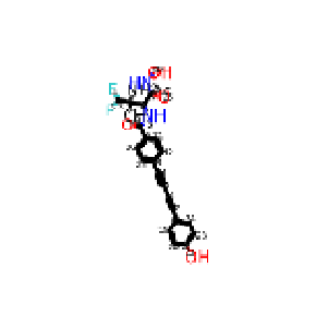 CC(=O)NC(C)(C(F)F)C(NC(=O)c1ccc(C#CC#Cc2ccc(O)cc2)cc1)C(=O)NO